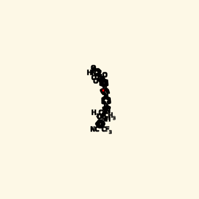 CC(C)(C(=O)Nc1ccc(C#N)c(C(F)(F)F)c1)n1cc(N2CCC(N3CC4CC3CN4c3ccc4c(c3)C(=O)N(C3CCC(=O)NC3=O)C4=O)CC2)cn1